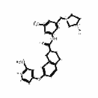 CC(=O)Nc1cc(Oc2ccc3c(c2)CC(C(=O)Nc2cc(CN4CC[C@H](F)C4)cc(C(F)(F)F)c2)CC3)ccn1